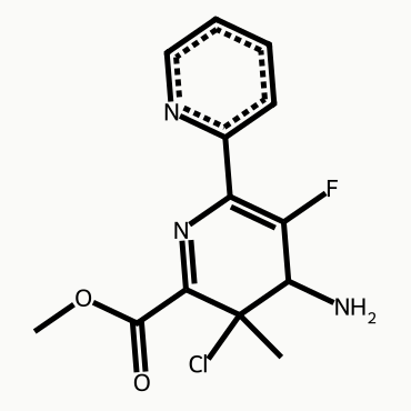 COC(=O)C1=NC(c2ccccn2)=C(F)C(N)C1(C)Cl